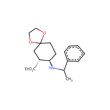 CCOC(=O)[C@@H]1CC2(CC[C@H]1NC(C)c1ccccc1)OCCO2